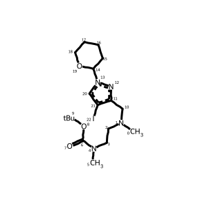 CN(CCN(C)C(=O)OC(C)(C)C)Cc1nn(C2CCCCO2)cc1I